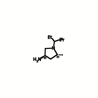 CCC(C(C)C)N1C[C@H](N)C[C@H]1C